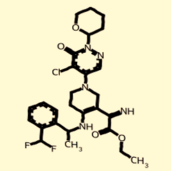 CCOC(=O)C(=N)C1=C(NC(C)c2ccccc2C(F)F)CCN(c2cnn(C3CCCCO3)c(=O)c2Cl)C1